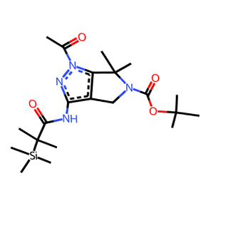 CC(=O)n1nc(NC(=O)C(C)(C)[Si](C)(C)C)c2c1C(C)(C)N(C(=O)OC(C)(C)C)C2